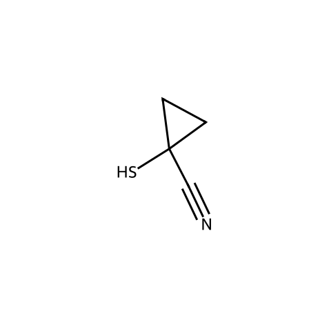 N#CC1(S)CC1